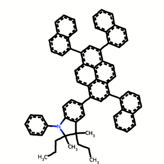 CCCC1(C)c2cc(-c3cc(-c4cccc5ccccc45)c4ccc5c(-c6cccc7ccccc67)cc(-c6cccc7ccccc67)c6ccc3c4c65)ccc2N(c2ccccc2)C1(C)CCC